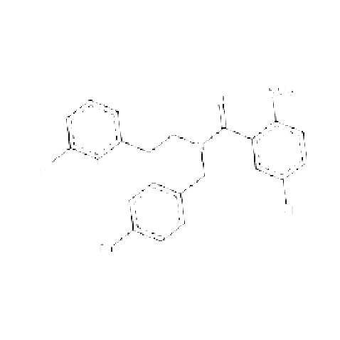 CNc1ccc(Cl)cc1C(=O)N(CCc1cccc(C(F)(F)F)c1)Cc1ccc(C(C)(C)C)cc1